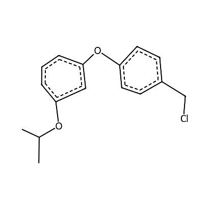 CC(C)Oc1cccc(Oc2ccc(CCl)cc2)c1